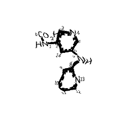 O=C(O)Nc1cncc(Nc2ccccn2)c1